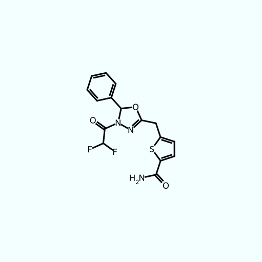 NC(=O)c1ccc(CC2=NN(C(=O)C(F)F)C(c3ccccc3)O2)s1